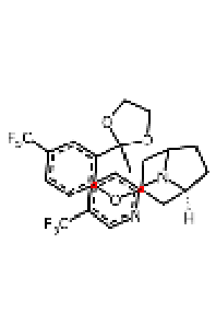 CC1(c2cc(C(F)(F)F)ccc2OC2CC3CC[C@@H](C2)N3c2ccc(C(F)(F)F)cn2)OCCO1